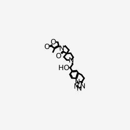 CC1=C(N2CCC3(CCN(CC(O)c4ccc5c(c4)CCc4nnnn4-5)CC3)C2=O)COC1=O